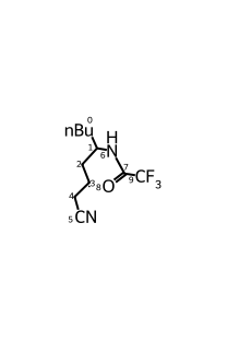 CCCCC(C[CH]CC#N)NC(=O)C(F)(F)F